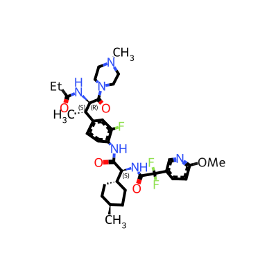 CCC(=O)N[C@@H](C(=O)N1CCN(C)CC1)[C@@H](C)c1ccc(NC(=O)[C@@H](NC(=O)C(F)(F)c2ccc(OC)nc2)[C@H]2CC[C@H](C)CC2)c(F)c1